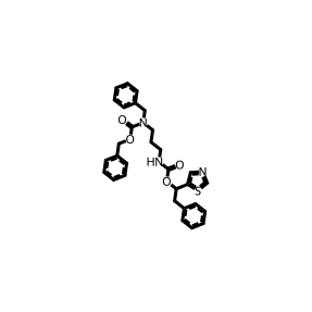 O=C(NCCCN(Cc1ccccc1)C(=O)OCc1ccccc1)OC(Cc1ccccc1)c1cncs1